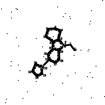 CCn1c2ccccc2c2cc(-n3cccc3)ccc21